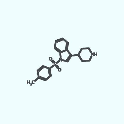 Cc1ccc(S(=O)(=O)n2cc(C3CCNCC3)c3ccccc32)cc1